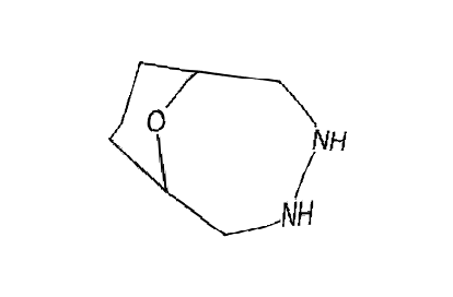 C1CC2CNNCC1O2